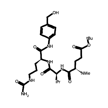 CN[C@@H](CCC(=O)OC(C)(C)C)C(=O)N[C@H](C(=O)N[C@@H](CCCNC(N)=O)C(=O)Nc1ccc(CO)cc1)C(C)C